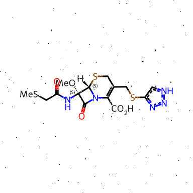 CO[C@@]1(NC(=O)CSC)C(=O)N2C(C(=O)O)=C(CSc3c[nH]nn3)CS[C@H]21